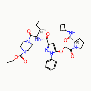 CCOC(=O)N1CCN(C(=O)[C@@H](NC(=O)c2cc(OCC(=O)N3CCC[C@H]3C(=O)NC3CCC3)n(-c3ccccc3)n2)[C@@H](C)CC)CC1